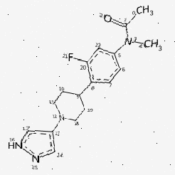 CC(=O)N(C)c1ccc(C2CCN(c3cn[nH]c3)CC2)c(F)c1